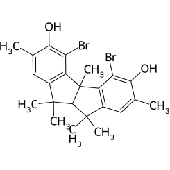 Cc1cc2c(c(Br)c1O)C1(C)c3c(cc(C)c(O)c3Br)C(C)(C)C1C2(C)C